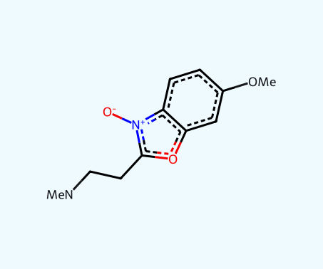 CNCCc1oc2cc(OC)ccc2[n+]1[O-]